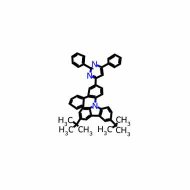 CC(C)(C)c1ccc2c(c1)c1cc(C(C)(C)C)ccc1n2-c1ccc(-c2cc(-c3ccccc3)nc(-c3ccccc3)n2)cc1-c1ccccc1